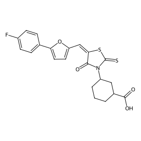 O=C(O)C1CCCC(N2C(=O)/C(=C\c3ccc(-c4ccc(F)cc4)o3)SC2=S)C1